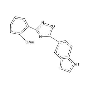 COc1ccccc1-c1noc(-c2ccc3[nH]ccc3c2)n1